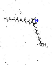 CCCCCCCCCCCCc1ccncc1CCCCCCCCCCCC